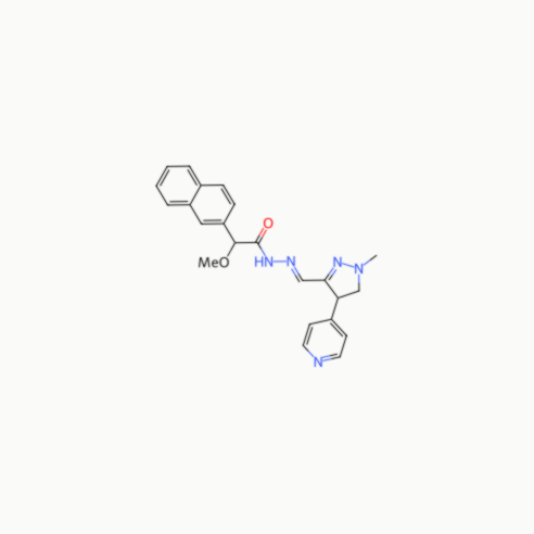 COC(C(=O)N/N=C/C1=NN(C)CC1c1ccncc1)c1ccc2ccccc2c1